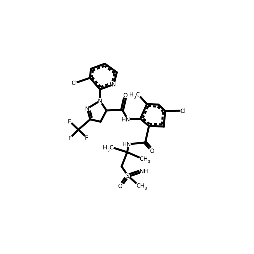 Cc1cc(Cl)cc(C(=O)NC(C)(C)CS(C)(=N)=O)c1NC(=O)C1CC(C(F)(F)F)=NN1c1ncccc1Cl